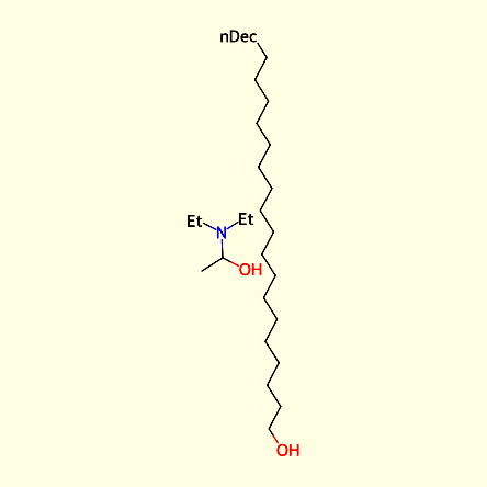 CCCCCCCCCCCCCCCCCCCCCCCCCCCCO.CCN(CC)C(C)O